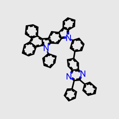 c1ccc(-c2nc3ccc(-c4cccc(-n5c6ccccc6c6cc7c8c9ccccc9c9ccccc9c8n(-c8ccccc8)c7cc65)c4)cc3nc2-c2ccccc2)cc1